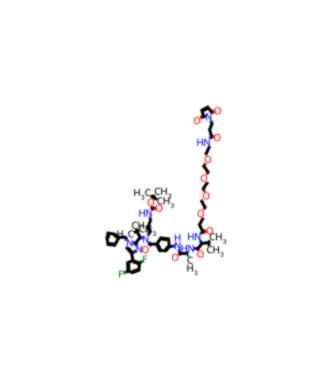 CC(C)C(NC(=O)CCOCCOCCOCCOCCNC(=O)CCN1C(=O)C=CC1=O)C(=O)N[C@@H](C)C(=O)Nc1ccc(C(=O)N(CCCNC(=O)OC(C)(C)C)C(c2nc(-c3cc(F)ccc3F)cn2Cc2ccccc2)C(C)(C)C)cc1